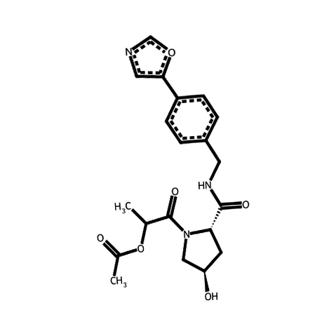 CC(=O)OC(C)C(=O)N1C[C@H](O)C[C@H]1C(=O)NCc1ccc(-c2cnco2)cc1